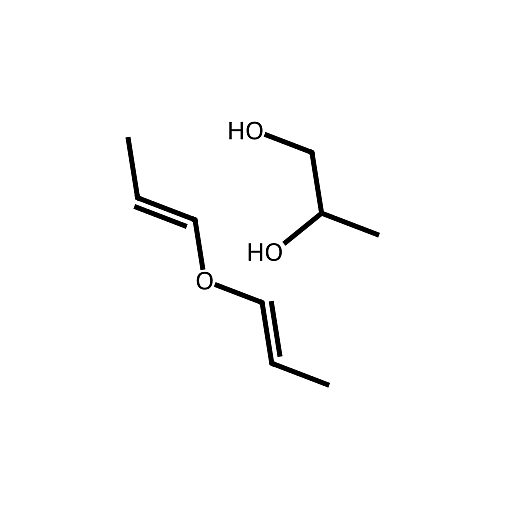 CC(O)CO.CC=COC=CC